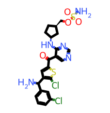 NC(c1cccc(Cl)c1)c1cc(C(=O)c2cncnc2N[C@H]2CC[C@@H](COS(N)(=O)=O)C2)sc1Cl